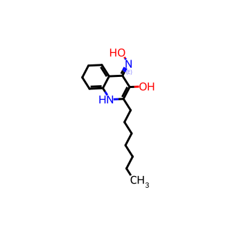 CCCCCCCc1[nH]c2c(/c(=N\O)c1O)=CCCC=2